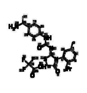 Cc1ccc(C(C)C)c(N2C(=O)CSC2=NC(=O)Nc2ccc(C(C)N)cc2)c1.O=C(O)C(F)(F)F